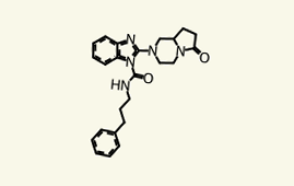 O=C1CCC2CN(c3nc4ccccc4n3C(=O)NCCCc3ccccc3)CCN12